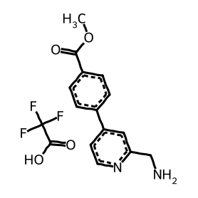 COC(=O)c1ccc(-c2ccnc(CN)c2)cc1.O=C(O)C(F)(F)F